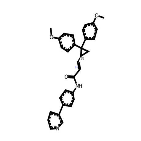 COc1ccc(C2(c3ccc(OC)cc3)C[C@H]2/C=C/C(=O)Nc2ccc(-c3cccnc3)cc2)cc1